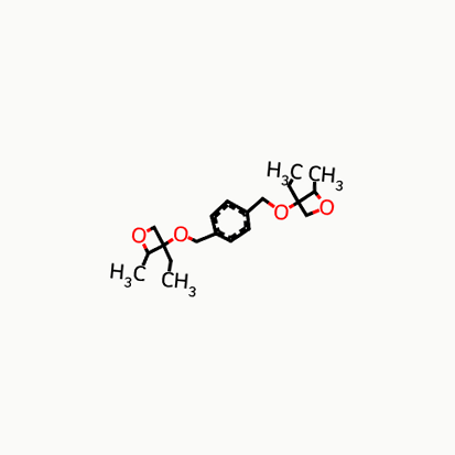 CCC1(OCc2ccc(COC3(CC)COC3C)cc2)COC1C